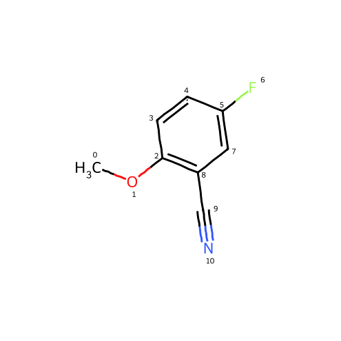 COc1c[c]c(F)cc1C#N